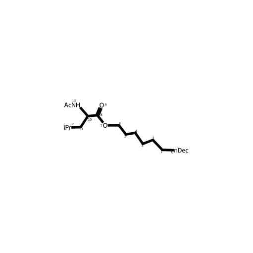 CCCCCCCCCCCCCCCCOC(=O)C(CC(C)C)NC(C)=O